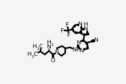 CC(C)C[C@@H](N)C(=O)N1CCC(CNc2ncc(C#N)c(-c3c[nH]c4ncc(C(F)(F)F)cc34)n2)CC1